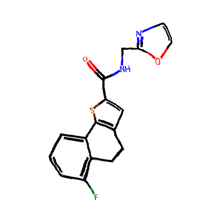 O=C(NCc1ncco1)c1cc2c(s1)-c1cccc(F)c1CC2